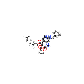 CC(C)=CCC/C(C)=C/COc1c(OC(C)C)c(=O)n(C)c2cc(NCc3ccccc3)ccc12